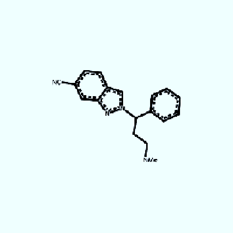 CNCCC(c1ccccc1)n1cc2ccc(C#N)cc2n1